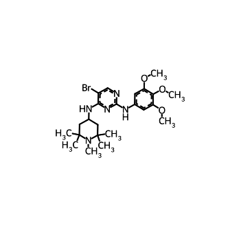 COc1cc(Nc2ncc(Br)c(NC3CC(C)(C)N(C)C(C)(C)C3)n2)cc(OC)c1OC